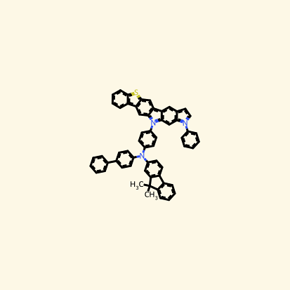 CC1(C)c2ccccc2-c2ccc(N(c3ccc(-c4ccccc4)cc3)c3ccc(-n4c5cc6c(cc5c5cc7ccn(-c8ccccc8)c7cc54)sc4ccccc46)cc3)cc21